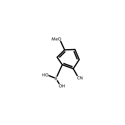 COc1ccc(C#N)c(B(O)O)c1